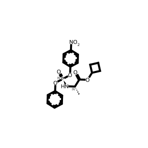 C[C@H](N[P@](=O)(Oc1ccccc1)Oc1ccc([N+](=O)[O-])cc1)C(=O)OC1CCC1